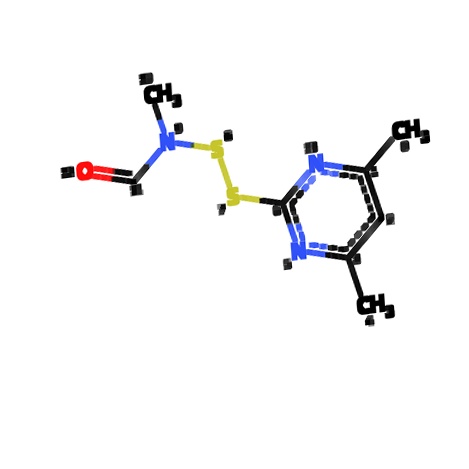 Cc1cc(C)nc(SSN(C)C=O)n1